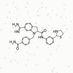 N=C(N)c1ccc2c(c1)N(Cc1ccc(C(N)=O)cc1)C(C(=O)Nc1cccc(C3NCCS3)c1)C2